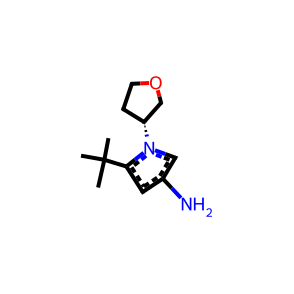 CC(C)(C)c1cc(N)cn1[C@@H]1CCOC1